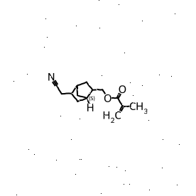 C=C(C)C(=O)OCC1CC2C[C@H]1CC2CC#N